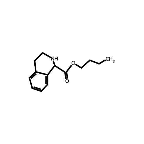 CCCCOC(=O)C1NCCc2ccccc21